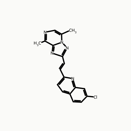 Cc1ncc(C)n2nc(C=Cc3ccc4ccc(Cl)cc4n3)nc12